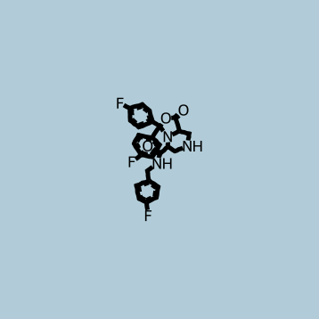 O=C(NCc1ccc(F)cc1)C1CNCC2C(=O)OC(c3ccc(F)cc3)(c3ccc(F)cc3)N12